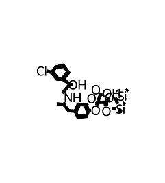 CC(Cc1ccc2c(c1)OC(C(=O)O)(C(=O)OC([Si](C)(C)C)[Si](C)(C)C)O2)NCC(O)c1cccc(Cl)c1